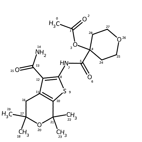 CC(=O)OC1(C(=O)Nc2sc3c(c2C(N)=O)CC(C)(C)OC3(C)C)CCOCC1